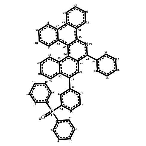 O=P(c1ccccc1)(c1ccccc1)c1cccc(-c2cc3c(-c4ccccc4)nc4c5ccccc5c5ccccc5c4c3c3ccccc23)c1